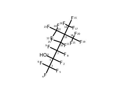 OC(F)(C(F)(F)F)C(F)(F)C(F)(F)C(C(F)(F)F)(C(F)(F)F)C(F)(F)F